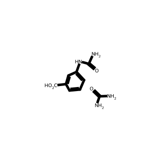 NC(=O)Nc1cccc(C(=O)O)c1.NC(N)=O